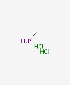 C[PH4].Cl.Cl